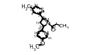 CCC(=O)N1N=C(c2cc(C)cs2)CC1c1ccc(OC)cn1